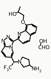 CC(O)COc1cccc2ccc(-c3nnc4ccc([C@@H](N5CCC(N)C5)C(F)(F)F)cn34)nc12.O=CO